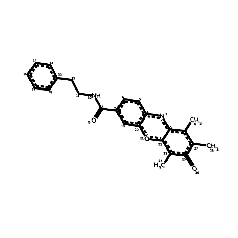 Cc1c2nc3ccc(C(=O)NCCc4ccccc4)cc3oc-2c(C)c(=O)c1C